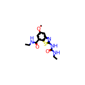 CCNC(=O)Nc1nc2cc(OC)cc(C(=O)NCC)c2s1